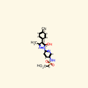 Cc1nn(-c2ccc(NS(=O)(=O)CC(=O)O)cn2)c(O)c1-c1ccc(C#N)cc1